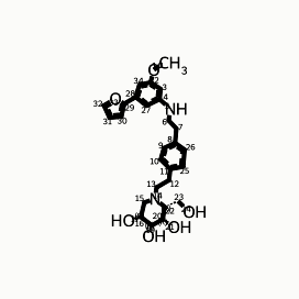 COc1cc(NCCc2ccc(CCN3C[C@H](O)[C@@H](O)[C@H](O)[C@H]3CO)cc2)cc(-c2ccco2)c1